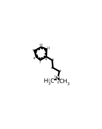 CN(C)CCCc1cc[c]cc1